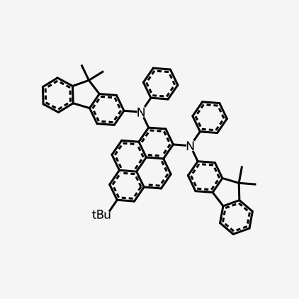 CC(C)(C)c1cc2ccc3c(N(c4ccccc4)c4ccc5c(c4)C(C)(C)c4ccccc4-5)cc(N(c4ccccc4)c4ccc5c(c4)C(C)(C)c4ccccc4-5)c4ccc(c1)c2c34